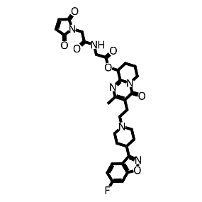 Cc1nc2n(c(=O)c1CCN1CCC(c3noc4cc(F)ccc34)CC1)CCCC2OC(=O)CNC(=O)CN1C(=O)C=CC1=O